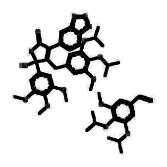 COc1cc(C2(O)OC(=O)C(c3ccc4nsnc4c3)=C2Cc2cc(OC)c(OC(C)C)c(OC(C)C)c2)cc(OC)c1OC.COc1cc(C=O)cc(OC(C)C)c1OC(C)C